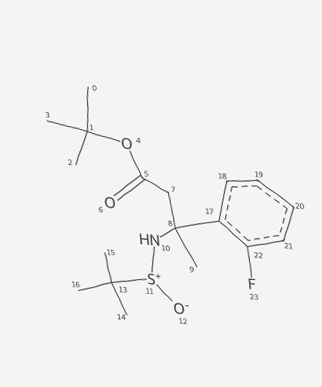 CC(C)(C)OC(=O)CC(C)(N[S+]([O-])C(C)(C)C)c1ccccc1F